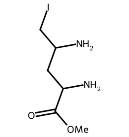 COC(=O)C(N)CC(N)CI